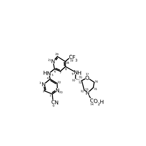 N#Cc1cnc(Nc2cc(NC[C@H]3CN(C(=O)O)CCO3)c(C(F)(F)F)cn2)cn1